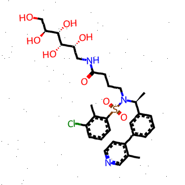 Cc1cnccc1-c1cccc([C@H](C)N(CCCC(=O)NC[C@@H](O)[C@H](O)[C@@H](O)[C@@H](O)CO)S(=O)(=O)c2cccc(Cl)c2C)c1